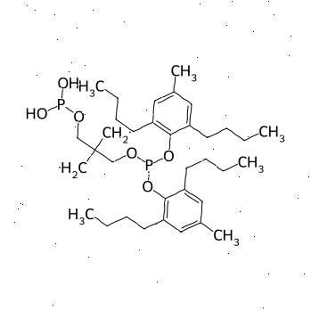 [CH2]C([CH2])(COP(O)O)COP(Oc1c(CCCC)cc(C)cc1CCCC)Oc1c(CCCC)cc(C)cc1CCCC